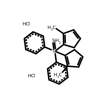 CC1=[C]([Ti](=[SiH2])([C]2=C(C)C=CC2)([c]2ccccc2)[c]2ccccc2)CC=C1.Cl.Cl